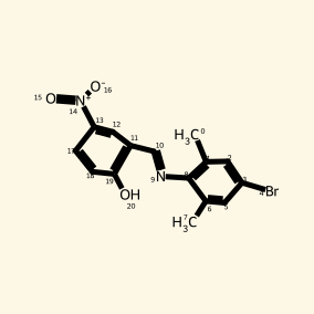 Cc1cc(Br)cc(C)c1N=Cc1cc([N+](=O)[O-])ccc1O